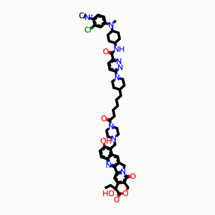 [C-]#[N+]c1ccc(N(C)C2CCC(NC(=O)c3ccc(N4CCC(CCCCCC(=O)N5CCN(Cc6c(O)ccc7nc8c(cc67)Cn6c-8cc7c(c6=O)COC(=O)[C@]7(O)CC)CC5)CC4)nn3)CC2)cc1Cl